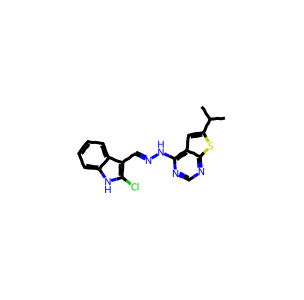 CC(C)c1cc2c(NN=Cc3c(Cl)[nH]c4ccccc34)ncnc2s1